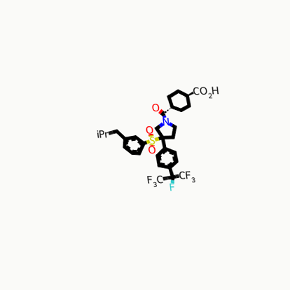 CC(C)Cc1cccc(S(=O)(=O)C2(c3ccc(C(F)(C(F)(F)F)C(F)(F)F)cc3)CCN(C(=O)[C@H]3CC[C@H](C(=O)O)CC3)C2)c1